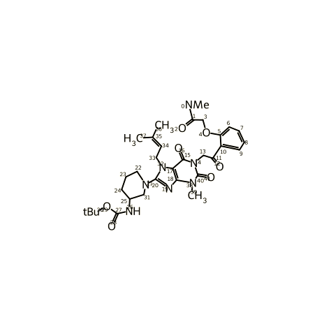 CNC(=O)COc1ccccc1C(=O)Cn1c(=O)c2c(nc(N3CCCC(NC(=O)OC(C)(C)C)C3)n2CC=C(C)C)n(C)c1=O